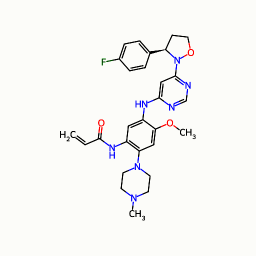 C=CC(=O)Nc1cc(Nc2cc(N3OCC[C@@H]3c3ccc(F)cc3)ncn2)c(OC)cc1N1CCN(C)CC1